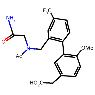 COc1ccc(CC(=O)O)cc1-c1ccc(C(F)(F)F)cc1CN(CC(N)=O)C(C)=O